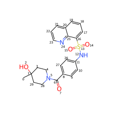 CC1(O)CCN(C(=O)c2ccc(NS(=O)(=O)c3cccc4cccnc34)cc2)CC1